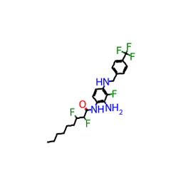 CCCCCCC(F)C(F)C(=O)Nc1ccc(NCc2ccc(C(F)(F)F)cc2)c(F)c1N